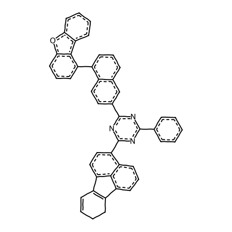 C1=CC2=C(CC1)c1cccc3c(-c4nc(-c5ccccc5)nc(-c5ccc6c(-c7cccc8oc9ccccc9c78)cccc6c5)n4)ccc2c13